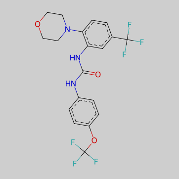 O=C(Nc1ccc(OC(F)(F)F)cc1)Nc1cc(C(F)(F)F)ccc1N1CCOCC1